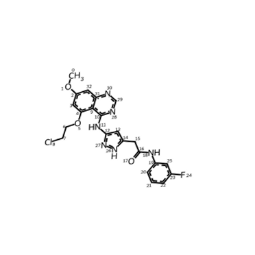 COc1cc(OCCCl)c2c(Nc3cc(CC(=O)Nc4cccc(F)c4)[nH]n3)ncnc2c1